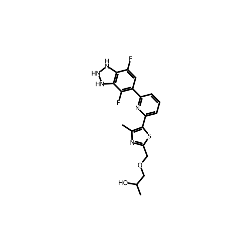 Cc1nc(COCC(C)O)sc1-c1cccc(-c2cc(F)c3c(c2F)NNN3)n1